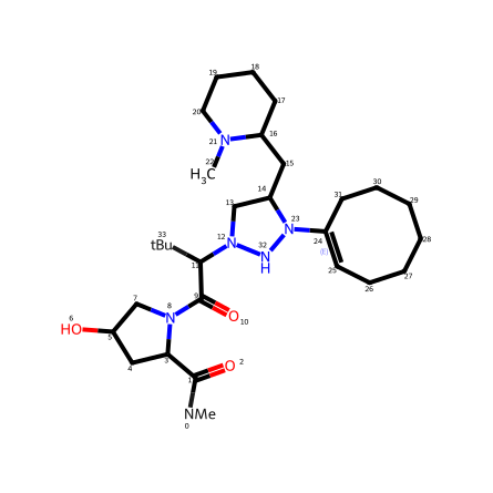 CNC(=O)C1CC(O)CN1C(=O)C(N1CC(CC2CCCCN2C)N(/C2=C/CCCCCC2)N1)C(C)(C)C